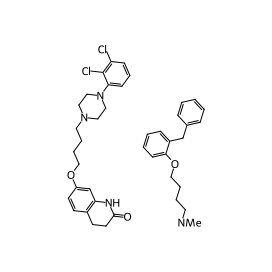 CNCCCCOc1ccccc1Cc1ccccc1.O=C1CCc2ccc(OCCCCN3CCN(c4cccc(Cl)c4Cl)CC3)cc2N1